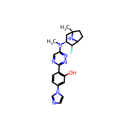 CN(c1cnc(-c2ccc(-n3ccnc3)cc2O)nn1)[C@H]1C[C@]2(C)CCC(N2)[C@H]1F